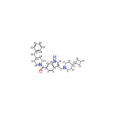 O=C(c1ccc2c(CN3CCC(C4CCC4)CC3)c[nH]c2c1)N1CCC(Cc2ccccc2)CC1